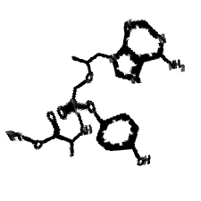 CC(C)OC(=O)C(C)NP(=O)(COC(C)Cn1cnc2c(N)ncnc21)Oc1ccc(O)cc1